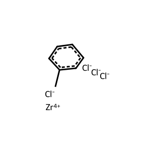 Cc1ccccc1.[Cl-].[Cl-].[Cl-].[Cl-].[Zr+4]